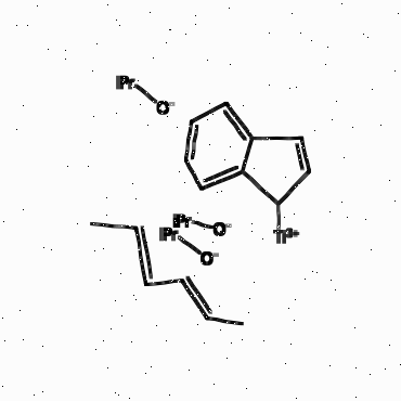 CC(C)[O-].CC(C)[O-].CC(C)[O-].CC=CC=CC.[Ti+3][CH]1C=Cc2ccccc21